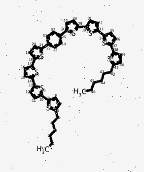 CCCCCCc1ccc(-c2ccc(-c3ccc(-c4ccc(-c5ccc(-c6ccc(-c7ccc(-c8ccc(-c9ccc(CCCCCC)s9)s8)s7)s6)cc5)s4)s3)s2)s1